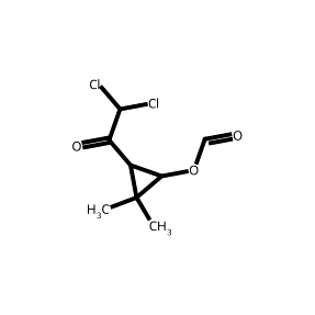 CC1(C)C(OC=O)C1C(=O)C(Cl)Cl